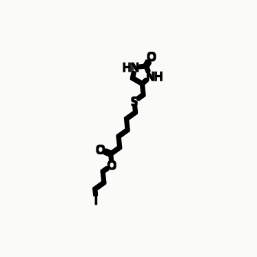 O=C1NCC(CSCCCCCC(=O)OCCCI)N1